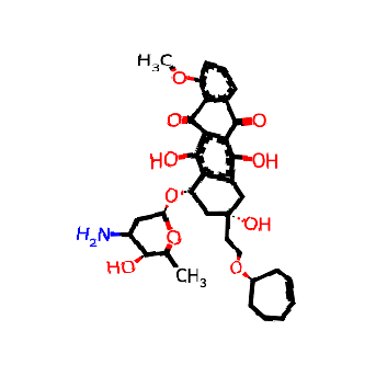 COc1cccc2c1C(=O)c1c(O)c3c(c(O)c1C2=O)C[C@@](O)(CCO[C@H]1CC=CCCC1)C[C@@H]3O[C@H]1CC(N)[C@H](O)C(C)O1